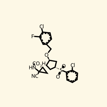 N#CC1(NC(=O)O)CC1.O=S(=O)(c1ccccc1Cl)[C@@H]1CC[C@@H](OCc2ccc(Cl)c(F)c2)C1